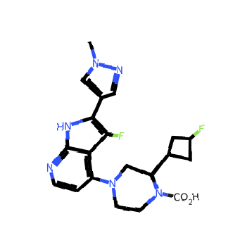 Cn1cc(-c2[nH]c3nccc(N4CCN(C(=O)O)C(C5CC(F)C5)C4)c3c2F)cn1